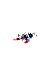 Cc1nc(Nc2ccc(C(F)(F)F)cc2)c(-c2noc(=O)[nH]2)c(OCCOCCO)c1C